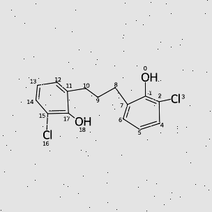 Oc1c(Cl)cccc1CCCc1cccc(Cl)c1O